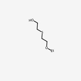 [CH2]COCCSCCO